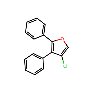 Clc1coc(-c2ccccc2)c1-c1ccccc1